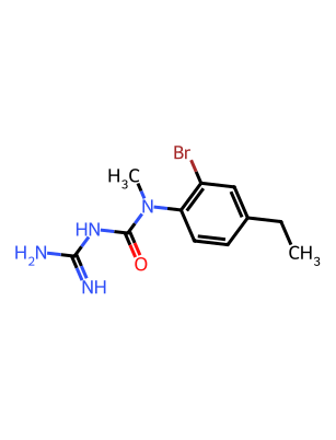 CCc1ccc(N(C)C(=O)NC(=N)N)c(Br)c1